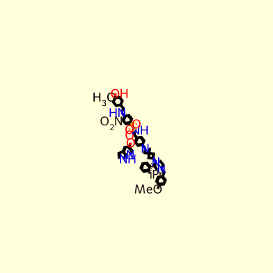 COc1ccc(CN2CCN(C3CC4(C3)CN(c3ccc(C(=O)NS(=O)(=O)c5ccc(NCC6CCC(C)(O)CC6)c([N+](=O)[O-])c5)c(Oc5cnc6[nH]ccc6c5)c3)C4)[C@H](c3ccccc3C(C)C)C2)cc1